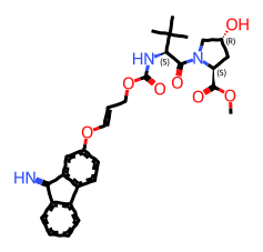 COC(=O)[C@@H]1C[C@@H](O)CN1C(=O)[C@@H](NC(=O)OCC=COc1ccc2c(c1)C(=N)c1ccccc1-2)C(C)(C)C